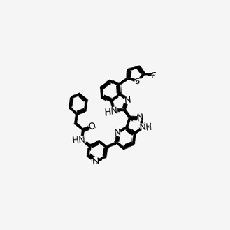 O=C(Cc1ccccc1)Nc1cncc(-c2ccc3[nH]nc(-c4nc5c(-c6ccc(F)s6)cccc5[nH]4)c3n2)c1